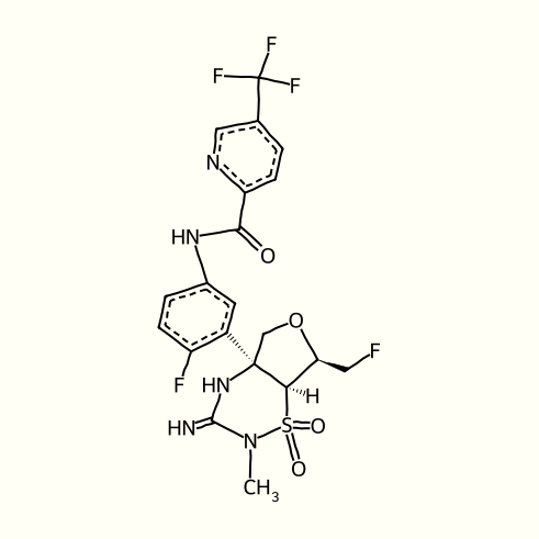 CN1C(=N)N[C@@]2(c3cc(NC(=O)c4ccc(C(F)(F)F)cn4)ccc3F)CO[C@@H](CF)[C@H]2S1(=O)=O